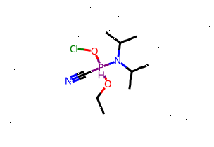 CCO[PH](C#N)(OCl)N(C(C)C)C(C)C